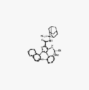 CCC(=O)Nc1c(C(=O)NC2(C(=O)O)C3CC4CC(C3)CC2C4)nn(-c2cccc3ccccc23)c1-c1c(OC)cccc1OC